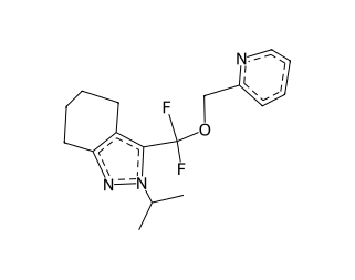 CC(C)n1nc2c(c1C(F)(F)OCc1ccccn1)CCCC2